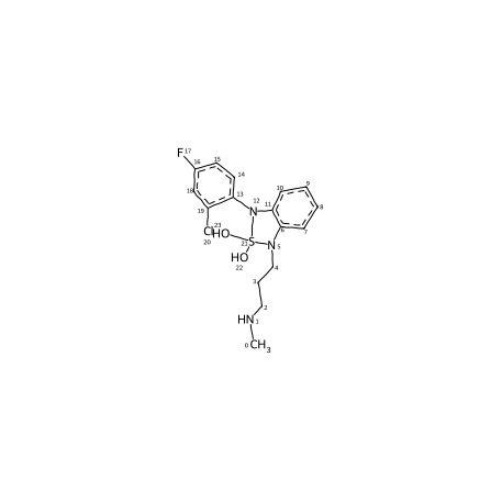 CNCCCN1c2ccccc2N(c2ccc(F)cc2Cl)S1(O)O